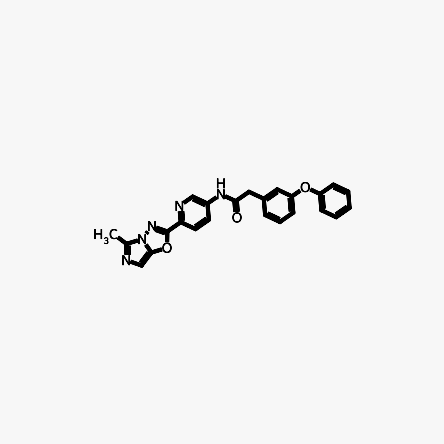 Cc1ncc2oc(-c3ccc(NC(=O)Cc4cccc(Oc5ccccc5)c4)cn3)nn12